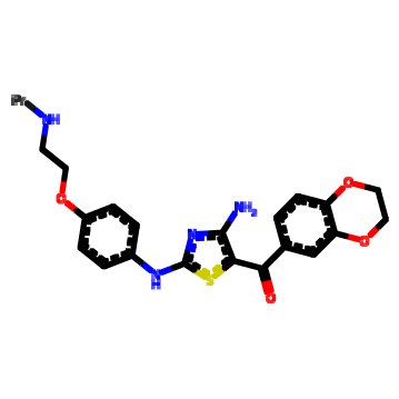 CC(C)NCCOc1ccc(Nc2nc(N)c(C(=O)c3ccc4c(c3)OCCO4)s2)cc1